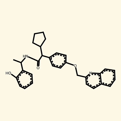 CC(NC(=O)C(c1ccc(OCc2ccc3ccccc3n2)cc1)C1CCCC1)c1ccccc1O